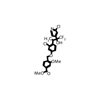 COC(=O)c1ccc(COc2ccc(C(C)C(O)(c3ccnc(Cl)c3)C(F)(F)F)c(Cl)c2)c(OC)c1